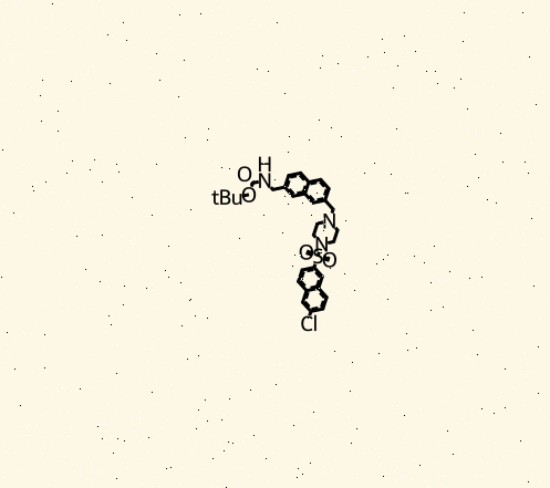 CC(C)(C)OC(=O)NCc1ccc2ccc(CN3CCN(S(=O)(=O)c4ccc5cc(Cl)ccc5c4)CC3)cc2c1